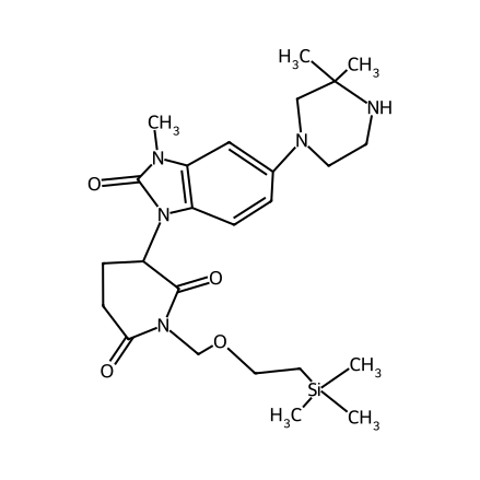 Cn1c(=O)n(C2CCC(=O)N(COCC[Si](C)(C)C)C2=O)c2ccc(N3CCNC(C)(C)C3)cc21